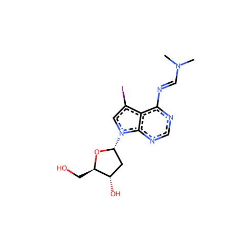 CN(C)C=Nc1ncnc2c1c(I)cn2[C@@H]1C[C@H](O)[C@@H](CO)O1